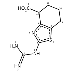 N=C(N)Nc1nc2c(s1)CCCC2C(=O)O